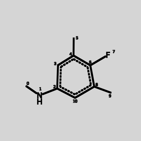 CNc1cc(C)c(F)c(C)c1